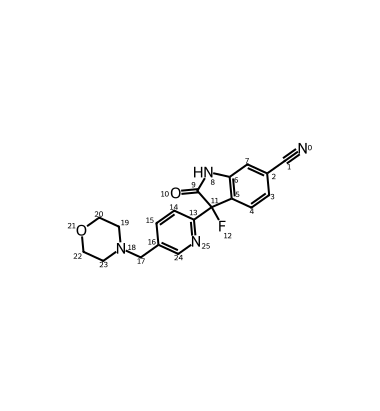 N#Cc1ccc2c(c1)NC(=O)C2(F)c1ccc(CN2CCOCC2)cn1